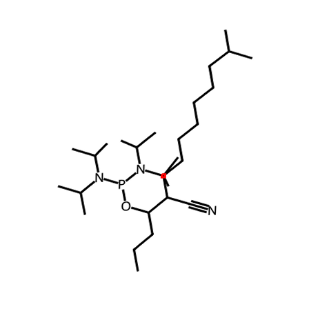 CCCC(OP(N(C(C)C)C(C)C)N(C(C)C)C(C)C)C(C#N)CCCCCCCC(C)C